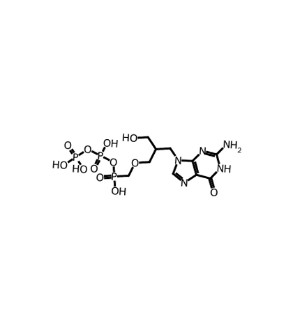 Nc1nc2c(ncn2CC(CO)COCP(=O)(O)OP(=O)(O)OP(=O)(O)O)c(=O)[nH]1